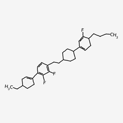 CCCCC1CC=C(C2CCC(CCc3ccc(C4=CCC(CC)CC4)c(F)c3F)CC2)C=C1F